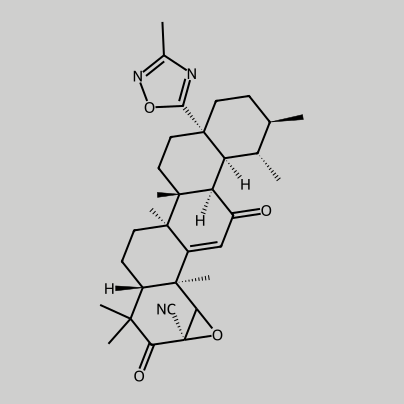 Cc1noc([C@]23CC[C@@H](C)[C@H](C)[C@H]2[C@H]2C(=O)C=C4[C@@]5(C)C6O[C@@]6(C#N)C(=O)C(C)(C)[C@@H]5CC[C@@]4(C)[C@]2(C)CC3)n1